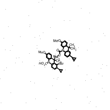 COc1ccc2c(c1)N(C(=O)O)c1ccc(C3CC3)c(C(C)(C)C)c1C2(C)C.COc1ccc2c(c1)N(C(=O)OC(C)(C)C)c1ccc(C3CC3)cc1C2(C)C